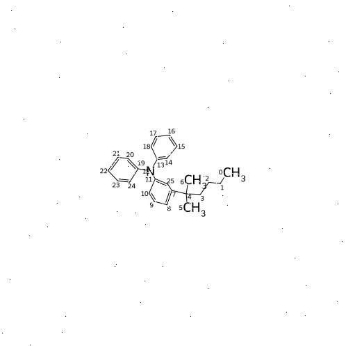 CCCCC(C)(C)c1cccc(N(c2ccccc2)c2ccccc2)c1